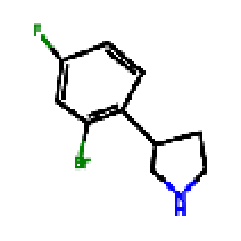 Fc1ccc(C2CCNC2)c(Br)c1